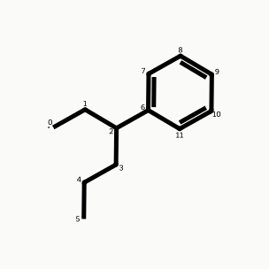 [CH2]CC(CCC)c1ccccc1